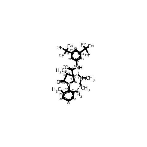 CCN(C)C[C@]1(C(=O)Nc2cc(C(F)(F)F)cc(C(F)(F)F)c2)CN(c2c(C)cccc2C)C(=O)[C@H]1C